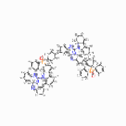 O=P(c1ccccc1)(c1ccccc1)c1ccc(-c2ccc3c4ccccc4n(-c4nc5ccc(-c6ccc(P(=O)(c7ccccc7)c7ccc8c9ccccc9n(-c9nc%10ccccc%10c%10nc%11ccccc%11n9%10)c8c7)cc6)cc5c5nc6ccccc6n45)c3c2)cc1